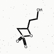 O=S1(=O)CC(CCO)O1